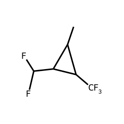 CC1C(C(F)F)C1C(F)(F)F